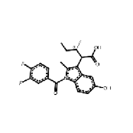 CC[C@H](C)C(C(=O)O)c1c(C)n(C(=O)c2ccc(F)c(F)c2)c2ccc(O)cc12